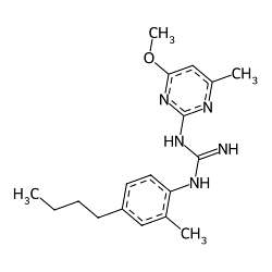 CCCCc1ccc(NC(=N)Nc2nc(C)cc(OC)n2)c(C)c1